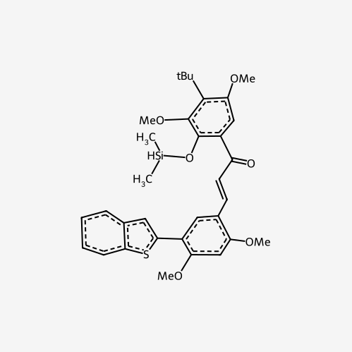 COc1cc(OC)c(-c2cc3ccccc3s2)cc1C=CC(=O)c1cc(OC)c(C(C)(C)C)c(OC)c1O[SiH](C)C